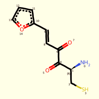 N[C@@H](CS)C(=O)C(=O)C=Cc1ccco1